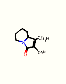 COC1=C(C(=O)O)C2CCCCN2C1=O